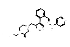 CCN(N=Cc1ccccc1C1=CNOC1CN1CCN(CC(=O)O)C(=O)C1)c1ccncc1